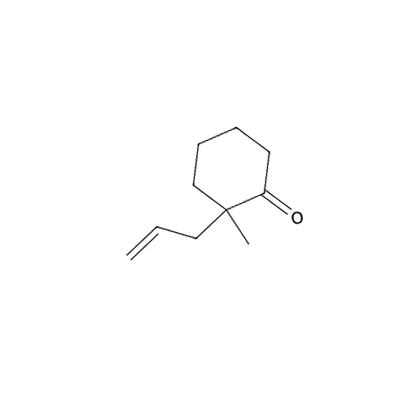 C=CCC1(C)CCCCC1=O